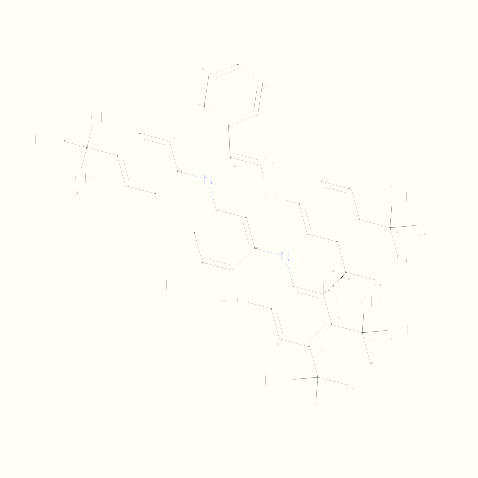 Cc1cc2c3c(c1)N(c1ccc(C(C)(C)C)cc1)c1c(oc4ccccc14)B3c1ccc3c4c1N2c1c(C)cc2c(c1C4(C)CCC3(C)C)C(C)(C)CCC2(C)C